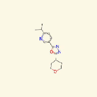 CC(C)c1ccc(-c2nnc(C3CCOCC3)o2)cn1